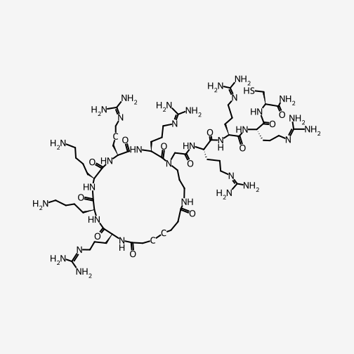 NCCCC[C@@H]1NC(=O)[C@H](CCCN=C(N)N)NC(=O)CCCCCC(=O)NCCCN(CC(=O)N[C@@H](CCCN=C(N)N)C(=O)N[C@@H](CCCN=C(N)N)C(=O)N[C@@H](CCCN=C(N)N)C(=O)N[C@@H](CS)C(N)=O)C(=O)[C@H](CCCN=C(N)N)NC(=O)[C@H](CCCN=C(N)N)NC(=O)[C@H](CCCCN)NC1=O